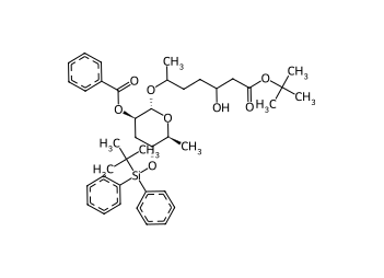 CC(CCC(O)CC(=O)OC(C)(C)C)O[C@@H]1O[C@@H](C)[C@H](O[Si](c2ccccc2)(c2ccccc2)C(C)(C)C)C[C@H]1OC(=O)c1ccccc1